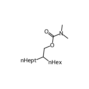 CCCCCCCC(CCCCCC)COC(=O)N(C)C